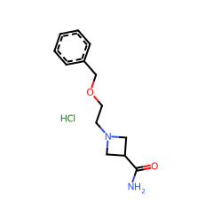 Cl.NC(=O)C1CN(CCOCc2ccccc2)C1